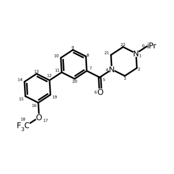 CC(C)N1CCN(C(=O)c2cccc(-c3cccc(OC(F)(F)F)c3)c2)CC1